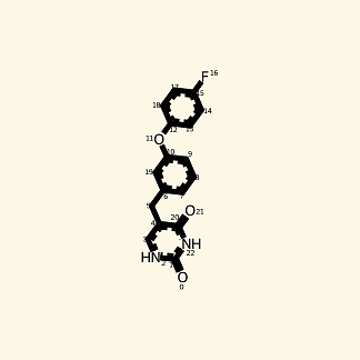 O=c1[nH]cc(Cc2cccc(Oc3ccc(F)cc3)c2)c(=O)[nH]1